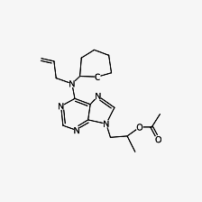 C=CCN(c1ncnc2c1ncn2CC(C)OC(C)=O)C1CCCCC1